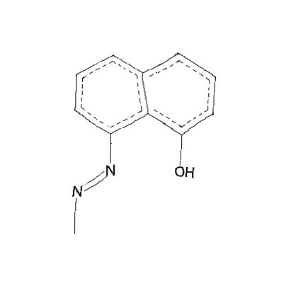 CN=Nc1cccc2cccc(O)c12